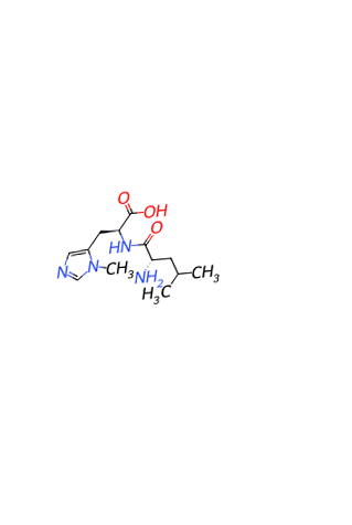 CC(C)C[C@H](N)C(=O)N[C@@H](Cc1cncn1C)C(=O)O